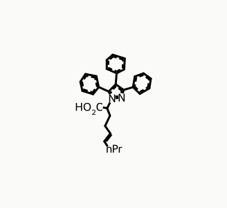 CCC/C=C/CCC(C(=O)O)n1nc(-c2ccccc2)c(-c2ccccc2)c1-c1ccccc1